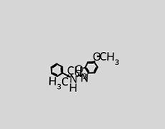 COc1ccc2nc(NC(C)(C)c3ccccc3)oc2c1